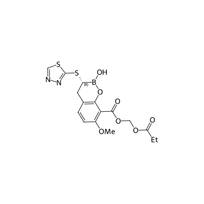 CCC(=O)OCOC(=O)c1c(OC)ccc2c1OB(O)[C@@H](Sc1nncs1)C2